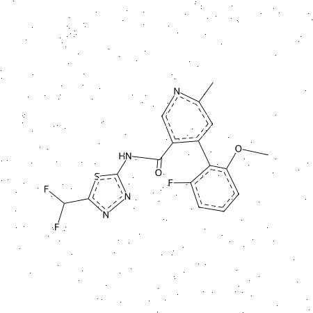 COc1cccc(F)c1-c1cc(C)ncc1C(=O)Nc1nnc(C(F)F)s1